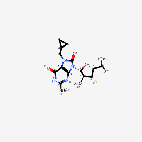 CC[C@H](OC(C)=O)[C@H]1O[C@@H](n2c(=O)n(CC3CC3)c3c(=O)[nH]c(NC(C)=O)nc32)[C@H](OC(C)=O)[C@H]1F